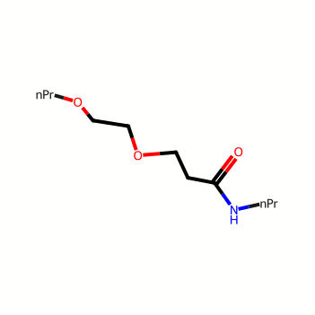 CCCNC(=O)CCOCCOCCC